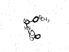 COc1ccc(-c2cncc(CNCC3COc4ccccc4O3)c2)cc1